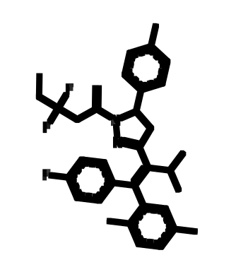 C=C(CC(F)(F)CC)N1N=C(/C(=C(\c2ccc(F)cc2)c2cc(C)ccc2C)C(C)C)CC1c1ccc(C)cc1